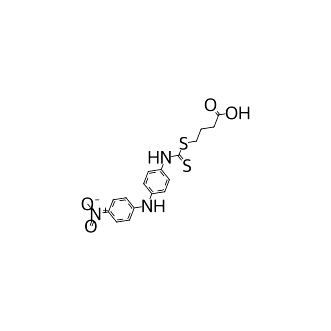 O=C(O)CCCSC(=S)Nc1ccc(Nc2ccc([N+](=O)[O-])cc2)cc1